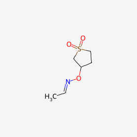 C/C=N/OC1CCS(=O)(=O)C1